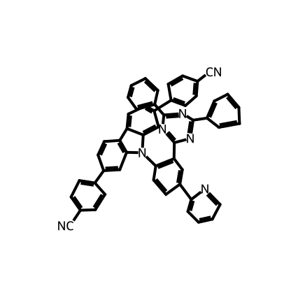 N#Cc1ccc(-c2ccc3c4ccc(-c5ccc(C#N)cc5)cc4n(-c4ccc(-c5ccccn5)cc4-c4nc(-c5ccccc5)nc(-c5ccccc5)n4)c3c2)cc1